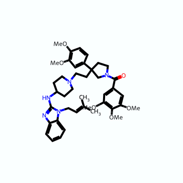 COc1ccc(C2(CCN3CCC(Nc4nc5ccccc5n4CC=C(C)C)CC3)CCN(C(=O)c3cc(OC)c(OC)c(OC)c3)C2)cc1OC